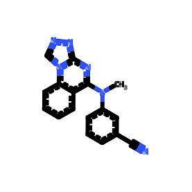 CN(c1cccc(C#N)c1)c1nc2nncn2c2ccccc12